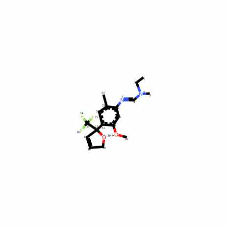 CCN(C)/C=N/c1cc(OC)c(C2(C(F)(F)F)C=CCO2)cc1C